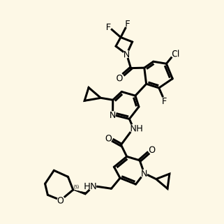 O=C(Nc1cc(-c2c(F)cc(Cl)cc2C(=O)N2CC(F)(F)C2)cc(C2CC2)n1)c1cc(CNC[C@@H]2CCCCO2)cn(C2CC2)c1=O